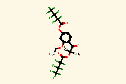 CCOc1cc(OC(=O)C(F)(F)C(F)(F)C(F)(F)F)ccc1C(=O)C(C)(C)OC(=O)C(F)(F)C(F)(F)C(F)(F)F